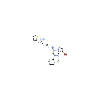 Clc1ccccc1-c1cc(NCC2CCNC(Cc3cccs3)C2)n2ncc(Br)c2n1